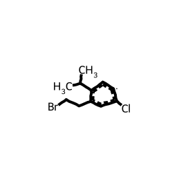 CC(C)c1c[c]c(Cl)cc1CCBr